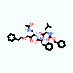 CC(=O)NC[C@H](NC(=O)[C@H](Cc1ccccc1)NC(=O)[C@H](CC(C)C)NC(=O)OCc1ccccc1)C(=O)COCCc1ccccc1